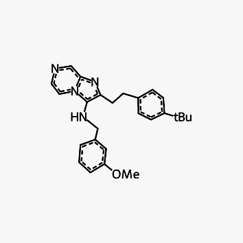 COc1cccc(CNc2c(CCc3ccc(C(C)(C)C)cc3)nc3cnccn23)c1